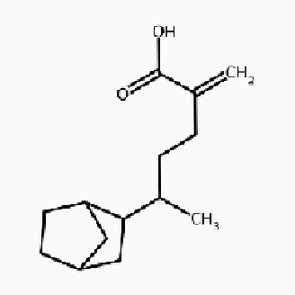 C=C(CCC(C)C1CC2CCC1C2)C(=O)O